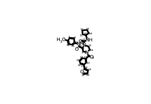 Cc1ccc(NC(=O)C2CN(C(=O)c3cccc(-c4ccco4)c3)CCN2C(=O)NC2CCCC2)cc1